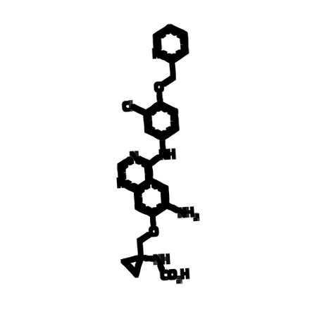 Nc1cc2c(Nc3ccc(OCc4ccccn4)c(Cl)c3)ncnc2cc1OCC1(NC(=O)O)CC1